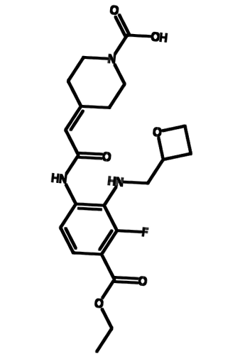 CCOC(=O)c1ccc(NC(=O)C=C2CCN(C(=O)O)CC2)c(NCC2CCO2)c1F